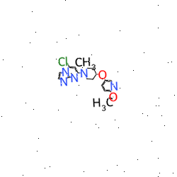 COc1ccc(OC2CCN(c3nc4nccn4c(Cl)c3C)CC2)cn1